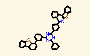 c1ccc(-c2nc(-c3ccc(-c4nc5sc6ccccc6c5c5ccccc45)cc3)nc(-c3cccc(-c4cccc5c4sc4ccccc45)c3)n2)cc1